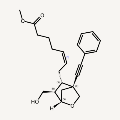 COC(=O)CCC/C=C\C[C@H]1[C@H](CO)[C@@H]2C[C@@]1(C#Cc1ccccc1)CO2